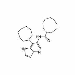 O=C(Nc1cnc2cc[nH]c2c1C1CCCCCCC1)C1CCCCCCCC1